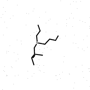 C/C=C(\C)CN(CCC)CCCC